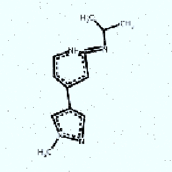 CC(C)/N=c1/cc(-c2cnn(C)c2)cc[nH]1